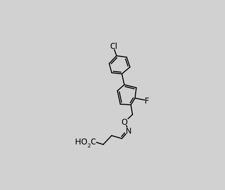 O=C(O)CC/C=N\OCc1ccc(-c2ccc(Cl)cc2)cc1F